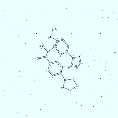 C=C(C(=O)c1ccc(N2CCCC2)cc1)c1cc(-c2cccs2)ccc1OC